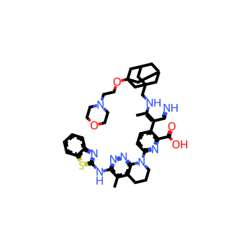 C/C(NCC12CC3CC(C1)CC(OCCN1CCOCC1)(C3)C2)=C(/C=N)c1ccc(N2CCCc3c2nnc(Nc2nc4ccccc4s2)c3C)nc1C(=O)O